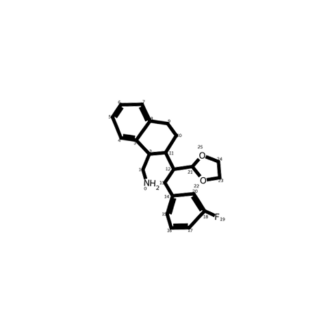 NCC1c2ccccc2CCC1C(Cc1cccc(F)c1)C1OCCO1